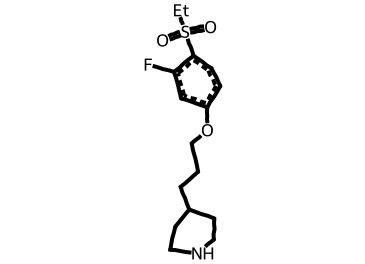 CCS(=O)(=O)c1ccc(OCCCC2CCNCC2)cc1F